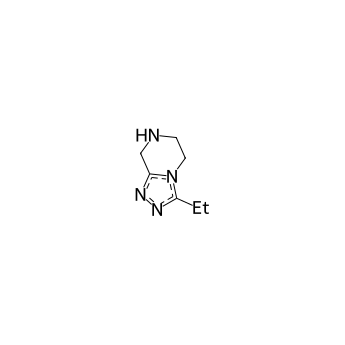 CCc1nnc2n1CCNC2